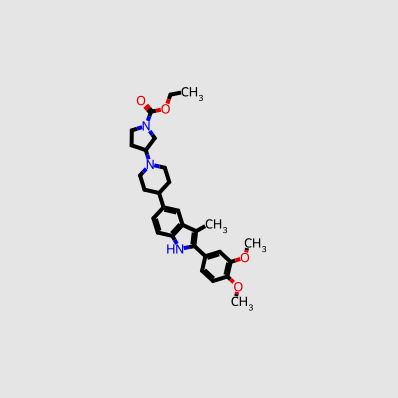 CCOC(=O)N1CCC(N2CCC(c3ccc4[nH]c(-c5ccc(OC)c(OC)c5)c(C)c4c3)CC2)C1